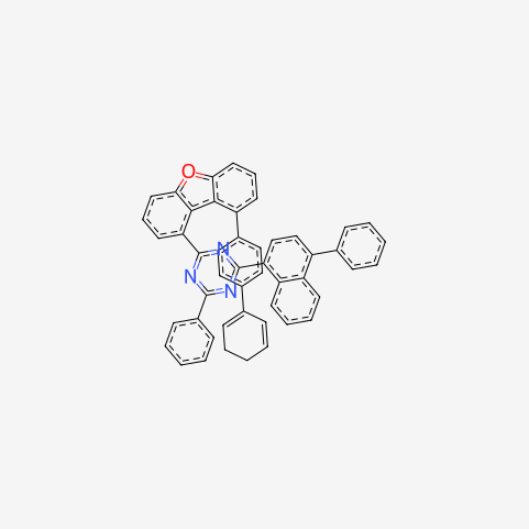 C1=CC(c2ccc(-c3cccc4oc5cccc(-c6nc(-c7ccccc7)nc(-c7ccc(-c8ccccc8)c8ccccc78)n6)c5c34)cc2)=CCC1